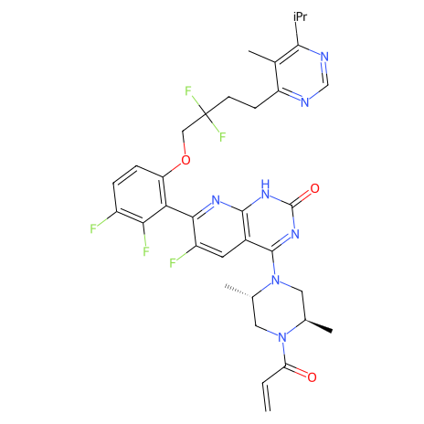 C=CC(=O)N1C[C@H](C)N(c2nc(=O)[nH]c3nc(-c4c(OCC(F)(F)CCc5ncnc(C(C)C)c5C)ccc(F)c4F)c(F)cc23)C[C@H]1C